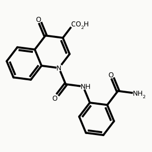 NC(=O)c1ccccc1NC(=O)n1cc(C(=O)O)c(=O)c2ccccc21